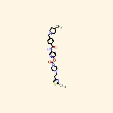 Cc1nc(CCN2CCN(C(=O)Oc3ccc(NC(=O)c4ccc(CN5CCC(C)CC5)cc4)cn3)CC2)cs1